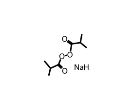 CC(C)C(=O)OOC(=O)C(C)C.[NaH]